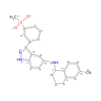 CS(=O)(=O)c1cccc(-c2n[nH]c3ccc(NC4CCCc5cc(C#N)ccc54)cc23)c1